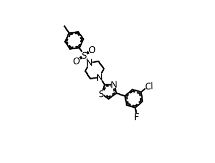 Cc1ccc(S(=O)(=O)N2CCN(c3nc(-c4cc(F)cc(Cl)c4)cs3)CC2)cc1